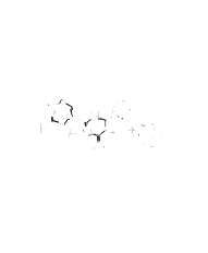 O=c1[nH]c(-c2ccnc(F)c2)nc(N2CCCC2CN2CCOCC2)c1Cl